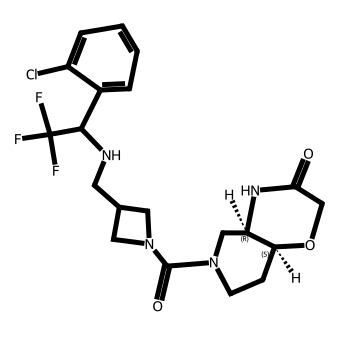 O=C1CO[C@H]2CCN(C(=O)N3CC(CNC(c4ccccc4Cl)C(F)(F)F)C3)C[C@H]2N1